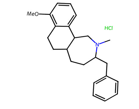 COc1cccc2c1CCC1CCC(Cc3ccccc3)N(C)CC21.Cl